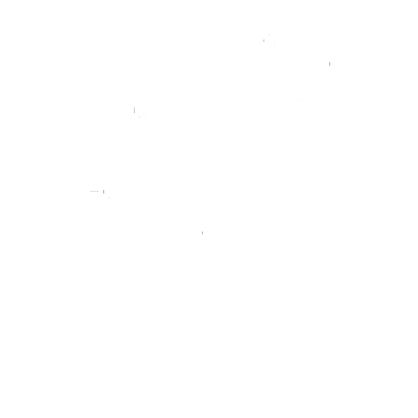 CCCc1ccccc1OC(C(=O)O)c1ccc2c(c1)OCO2